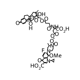 COc1c(N2CCN(C(=O)OCOC(=O)CC(NC(=O)CCC(=O)OCC(=O)[C@@]3(O)[C@H](C)CC4C5CCC6=CC(=O)C=C[C@]6(C)[C@@]5(F)[C@@H](O)C[C@@]43C)C(=O)O)C(C)C2)c(F)cc2c(=O)c(C(=O)O)cn(C3CC3)c12